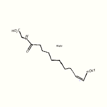 CCCCCCCC/C=C\CCCCCCCC(=O)NCC(=O)O.[NaH]